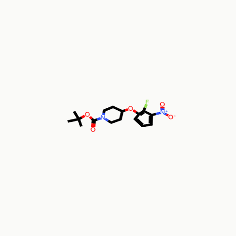 CC(C)(C)OC(=O)N1CCC(Oc2cccc([N+](=O)[O-])c2F)CC1